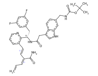 C=C/C=C(\C=C\c1cccnc1[C@H](Cc1cc(F)cc(F)c1)NC(=O)Cc1c[nH]c2cc(CNC(=O)OC(C)(C)C)ccc12)C(N)=O